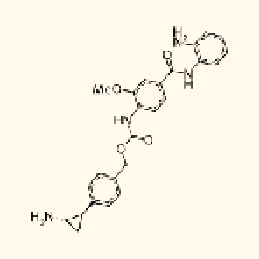 COc1cc(C(=O)Nc2ccccc2N)ccc1NC(=O)OCc1ccc([C@H]2C[C@@H]2N)cc1